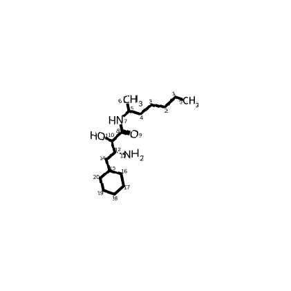 CCCCCC(C)NC(=O)C(O)[C@H](N)CC1CCCCC1